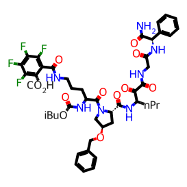 CCCC(NC(=O)[C@@H]1C[C@@H](OCc2ccccc2)CN1C(=O)C(CCCNC(=O)c1c(F)c(F)c(F)c(F)c1C(=O)O)NC(=O)OCC(C)C)C(=O)C(=O)NCC(=O)N[C@H](C(N)=O)c1ccccc1